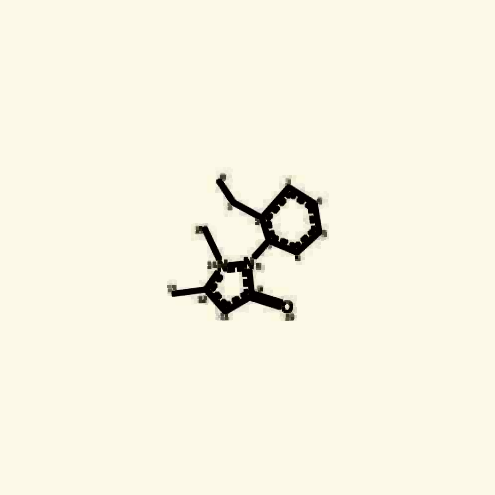 CCc1ccccc1-n1c(=O)cc(C)n1C